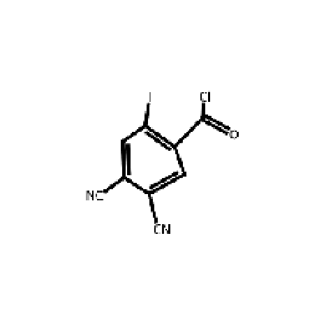 N#Cc1cc(I)c(C(=O)Cl)cc1C#N